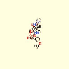 COc1ccc([C@H](NC(=O)c2ccc(N3C4CCC3CC([AsH]C(=O)c3cccc(OC)c3C)C4)nc2)C(=O)O)cc1